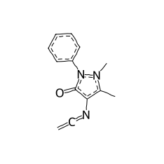 C=C=Nc1c(C)n(C)n(-c2ccccc2)c1=O